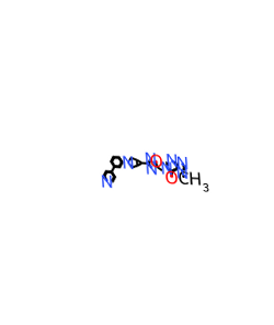 Cn1cnc2ncn(Cc3nc(C4C5CN(c6cccc(-c7ccncc7)c6)CC54)no3)c(=O)c21